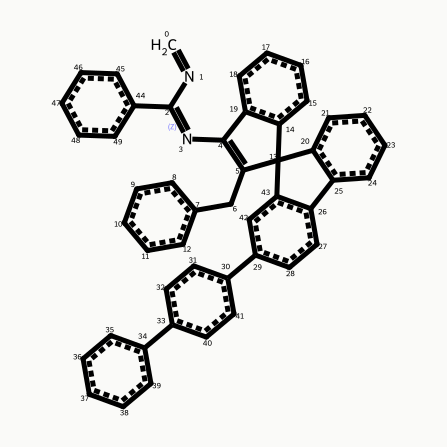 C=N/C(=N\C1=C(Cc2ccccc2)C2(c3ccccc31)c1ccccc1-c1ccc(-c3ccc(-c4ccccc4)cc3)cc12)c1ccccc1